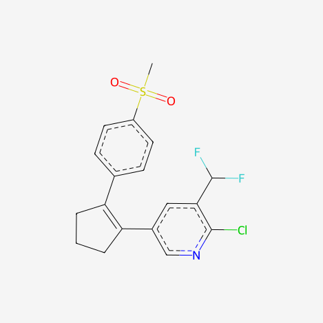 CS(=O)(=O)c1ccc(C2=C(c3cnc(Cl)c(C(F)F)c3)CCC2)cc1